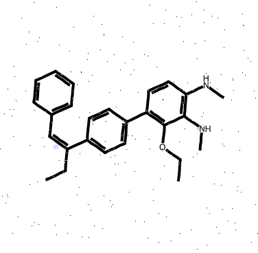 CCOc1c(-c2ccc(/C(=C\c3ccccc3)CC)cc2)ccc(NC)c1NC